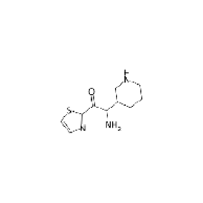 NC(C(=O)c1nccs1)C1CCCNC1